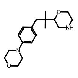 CC(C)(Cc1ccc(N2CCOCC2)cc1)C1CNCCO1